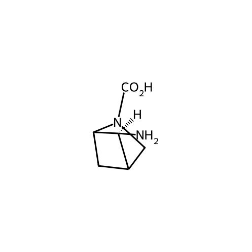 N[C@H]1C2CC1N(C(=O)O)C2